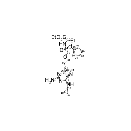 CCOC(=O)[C@H](CC)NP(=O)(COCCn1cnc2c(NC3CC3)nc(N)nc21)Oc1ccccc1